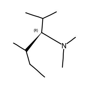 CCC(C)[C@@H](C(C)C)N(C)C